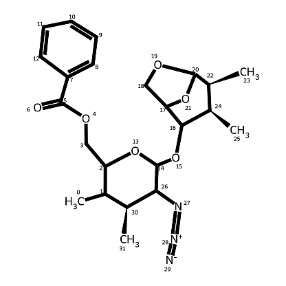 CC1C(COC(=O)c2ccccc2)OC(OC2C3COC(O3)[C@@H](C)[C@H]2C)C(N=[N+]=[N-])[C@H]1C